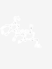 CC[C@@H]1C[C@H]2CN(C(=O)c3nn(C)c4ccccc34)[C@@H](C1)C2C